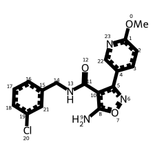 COc1ccc(-c2noc(N)c2C(=O)NCc2cccc(Cl)c2)cn1